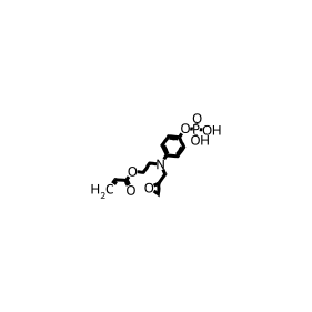 C=CC(=O)OCCN(CC1CO1)c1ccc(OP(=O)(O)O)cc1